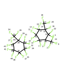 FC(F)(F)C1(F)C(F)(F)C(F)(F)C(F)(F)C(F)(C(F)(F)F)C1(F)F.FC(F)(F)C1(F)C(F)(F)C(F)(F)C(F)(F)C(F)(F)C1(F)F